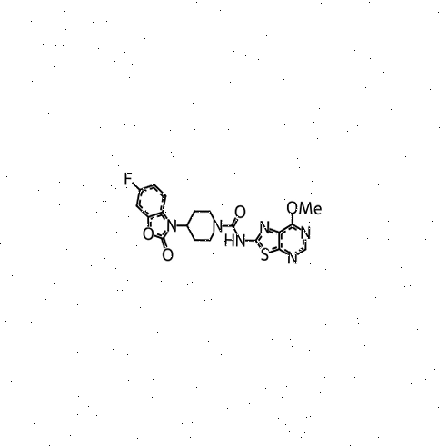 COc1ncnc2sc(NC(=O)N3CCC(n4c(=O)oc5cc(F)ccc54)CC3)nc12